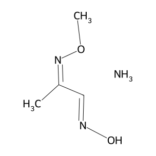 CON=C(C)C=NO.N